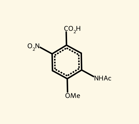 COc1cc([N+](=O)[O-])c(C(=O)O)cc1NC(C)=O